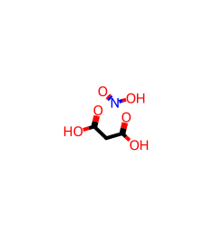 O=C(O)CC(=O)O.O=NO